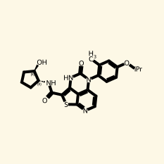 Cc1cc(OC(C)C)ccc1N1C(=O)Nc2c(C(=O)N[C@@H]3CCC[C@H]3O)sc3nccc1c23